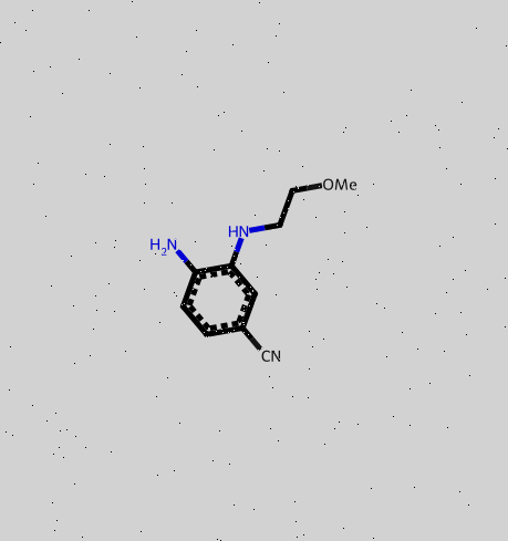 COCCNc1cc(C#N)ccc1N